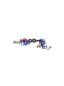 COC(=O)N[C@H](C(=O)N1CCCC1c1nc2cc(-c3ccc(C#Cc4c[nH]c([C@@H]5CCCN5C(=O)[C@H](NC(=O)O)C(C)C)n4)cc3)ccc2[nH]1)C(C)C